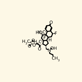 CCCN(O)C[C@@H]1CC2[C@@H]3C[C@H](F)C4=CC(=O)C=C[C@]4(C)[C@@]3(F)[C@@H](O)C[C@]2(C)[C@H]1C(=O)COS(C)(=O)=O